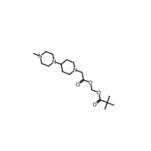 CN1CCN(C2CCN(CC(=O)OCOC(=O)C(C)(C)C)CC2)CC1